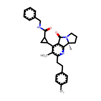 O=C(O)c1c(CCc2ccc(C(F)(F)F)cc2)nc2c(c1C1CC1C(=O)NCc1ccccc1)C(=O)N1CCC[C@@H]21